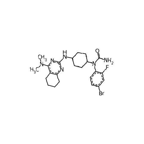 CN(C)c1nc(NC2CCC(N(C(N)=O)c3ccc(Br)cc3F)CC2)nc2c1CCCC2